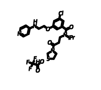 CC(C)N(CCC(=O)N1CCSC1)C(=O)c1cc(Cl)cc(OCCNc2ccncc2)c1.O=C(O)C(F)(F)F